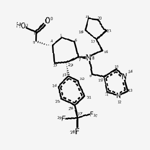 O=C(O)C[C@@H]1CC[C@@H](N(Cc2cncnc2)CC2CCCC2)[C@H](c2ccc(C(F)(F)F)cc2)C1